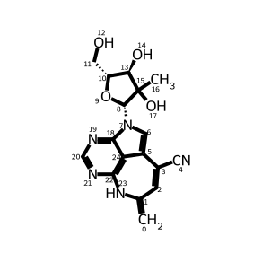 C=c1cc(C#N)c2cn([C@@H]3O[C@H](CO)[C@@H](O)C3(C)O)c3ncnc([nH]1)c23